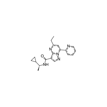 CCc1cc(-c2ccccn2)n2ncc(C(=O)N[C@@H](C)C3CC3)c2n1